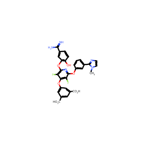 Cn1ccnc1-c1cccc(Oc2nc(Oc3cc(C(=N)N)ccc3O)c(F)c(Oc3cc(C(=O)O)cc(C(=O)O)c3)c2F)c1